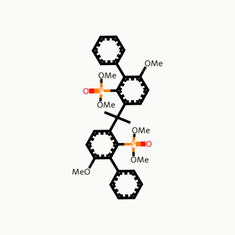 COc1ccc(C(C)(C)c2ccc(OC)c(-c3ccccc3)c2P(=O)(OC)OC)c(P(=O)(OC)OC)c1-c1ccccc1